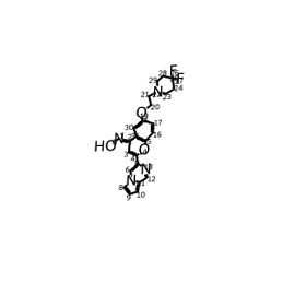 O/N=c1\cc(-c2cn3cccc3cn2)oc2ccc(OCCN3CCC(F)(F)CC3)cc12